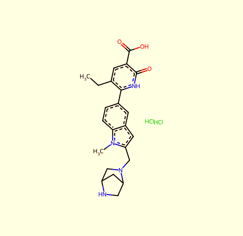 CCc1cc(C(=O)O)c(=O)[nH]c1-c1ccc2c(c1)cc(CN1CC3CC1CN3)n2C.Cl.Cl